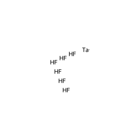 F.F.F.F.F.F.[Ta]